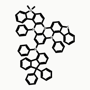 C[Si]1(C)c2ccccc2-c2c1ccc1c2N(c2ccccc2)c2cc(N(c3ccccc3)c3cccc4c3-c3ccccc3C4(c3ccccc3)c3ccccc3)cc3c2B1c1ccc2sc4ccccc4c2c1N3c1ccccc1